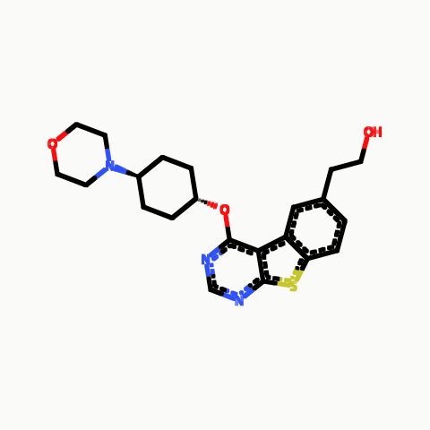 OCCc1ccc2sc3ncnc(O[C@H]4CC[C@H](N5CCOCC5)CC4)c3c2c1